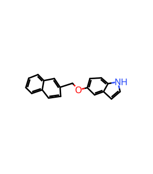 c1ccc2cc(COc3ccc4[nH]ccc4c3)ccc2c1